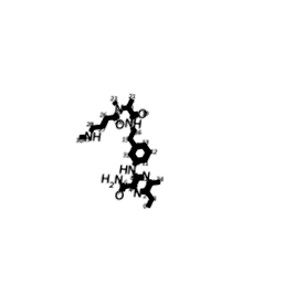 CCc1nc(C(N)=O)c(Nc2cccc(CCNC(=O)C(C)N(C)C(=O)C=CCNC)c2)nc1C